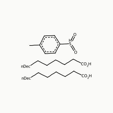 CCCCCCCCCCCCCCCC(=O)O.CCCCCCCCCCCCCCCC(=O)O.Cc1ccc([SH](=O)=O)cc1